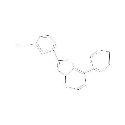 COc1cccc(-c2cc3nccc(-c4ccccc4)c3o2)c1